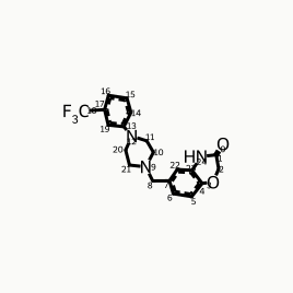 O=C1COc2ccc(CN3CCN(c4cccc(C(F)(F)F)c4)CC3)cc2N1